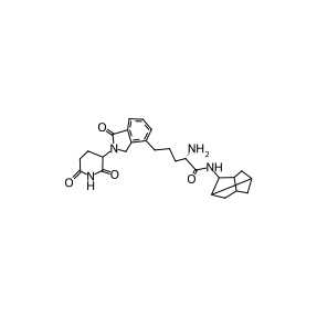 N[C@@H](CCCc1cccc2c1CN(C1CCC(=O)NC1=O)C2=O)C(=O)NC1C2CC3CC2CC31